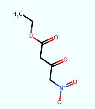 CCOC(=O)CC(=O)C[N+](=O)[O-]